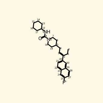 CC/C(=C\CC1CCN(C(=O)NC2CCCCC2)CC1)c1ccc2cc(F)ccc2c1